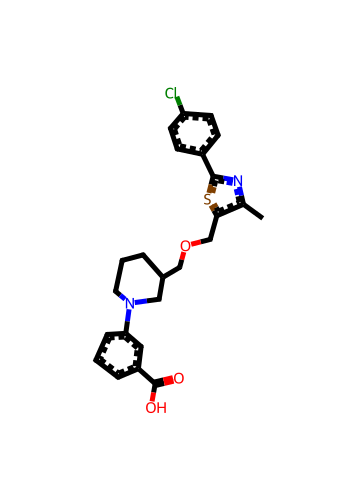 Cc1nc(-c2ccc(Cl)cc2)sc1COCC1CCCN(c2cccc(C(=O)O)c2)C1